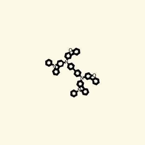 C1=CC(N(c2ccc(-c3ccc(N(c4ccc5oc6ccccc6c5c4)c4ccc5c(c4)c4ccccc4n5-c4ccccc4)cc3)cc2)c2ccc3oc4ccccc4c3c2)Cc2c1n(-c1ccccc1)c1ccccc21